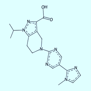 CC(C)n1nc(C(=O)O)c2c1CCN(c1ncc(-c3nccn3C)cn1)C2